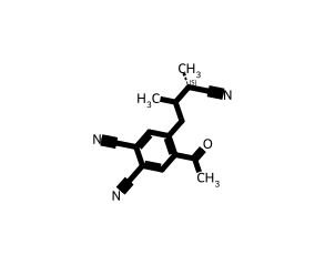 CC(=O)c1cc(C#N)c(C#N)cc1CC(C)[C@H](C)C#N